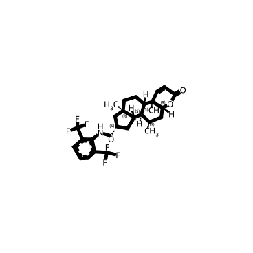 C[C@H]1C[C@H]2OC(=O)C=C[C@]2(C)[C@H]2CC[C@]3(C)C[C@@H](C(=O)Nc4c(C(F)(F)F)cccc4C(F)(F)F)C[C@H]3[C@H]12